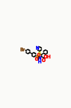 O=C(O)C(NS(=O)(=O)c1ccc(-c2ccc(Br)cc2)cc1)C(Sc1cccnc1)c1ccccc1